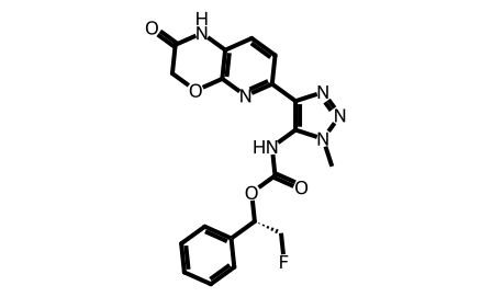 Cn1nnc(-c2ccc3c(n2)OCC(=O)N3)c1NC(=O)O[C@H](CF)c1ccccc1